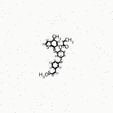 C=CC(=O)OC1CCC(Sc2cccc(/C=C\SC)c2)CC1SC1=C2SC=CC2C(C)C=C1